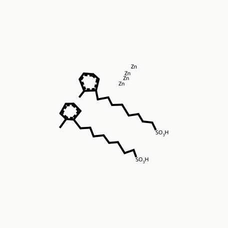 Cc1ccccc1CCCCCCCCS(=O)(=O)O.Cc1ccccc1CCCCCCCCS(=O)(=O)O.[Zn].[Zn].[Zn].[Zn]